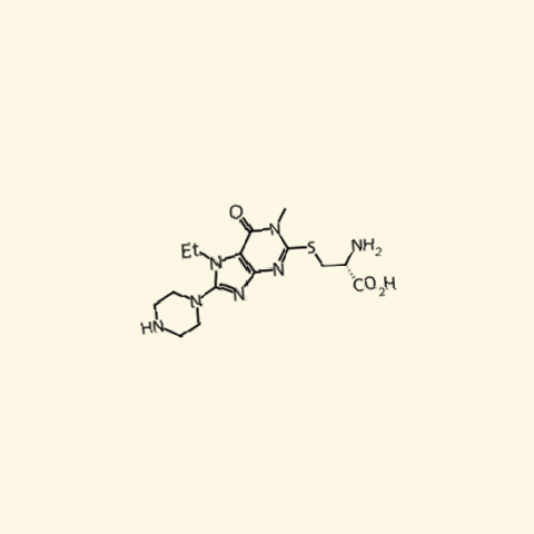 CCn1c(N2CCNCC2)nc2nc(SC[C@H](N)C(=O)O)n(C)c(=O)c21